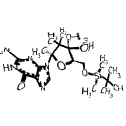 CC1(C)[C@](C)(n2cnc3c(=O)[nH]c(N)nc32)O[C@H](CO[Si](C)(C)C(C)(C)C)[C@@]1(C)O